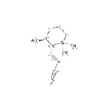 C[C@H]1CCCC(C)(C)[C@@H]1/C=C/C#N